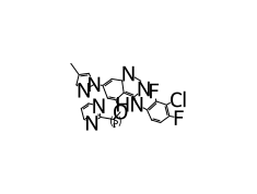 Cc1cnn(-c2cc(O[C@@H](C)c3ncccn3)c3c(Nc4ccc(F)c(Cl)c4F)ncnc3c2)c1